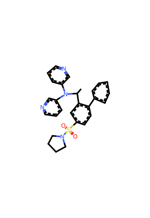 CC(c1cc(S(=O)(=O)N2CCCC2)ccc1-c1ccccc1)N(c1cccnc1)c1cccnc1